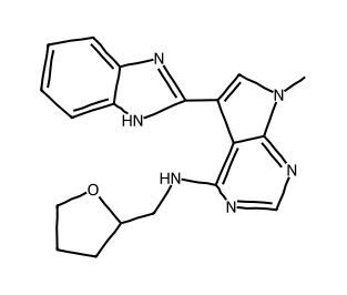 Cn1cc(-c2nc3ccccc3[nH]2)c2c(NCC3CCCO3)ncnc21